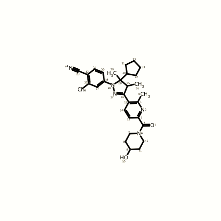 Cc1nc(C(=O)N2CCC(O)CC2)ccc1C1=NN(c2ccc(C#N)c(Cl)c2)C(C)(C2CCCC2)C1C